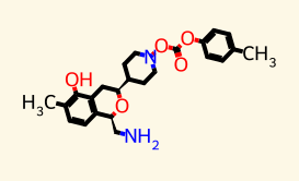 Cc1ccc(OC(=O)ON2CCC([C@@H]3Cc4c(ccc(C)c4O)[C@H](CN)O3)CC2)cc1